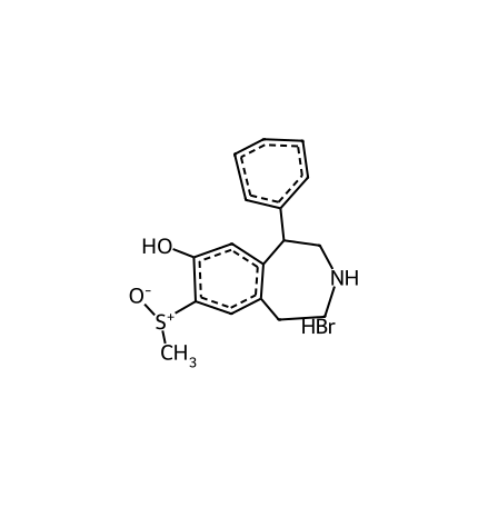 Br.C[S+]([O-])c1cc2c(cc1O)C(c1ccccc1)CNCC2